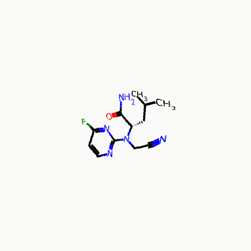 CC(C)C[C@@H](C(N)=O)N(CC#N)c1nccc(F)n1